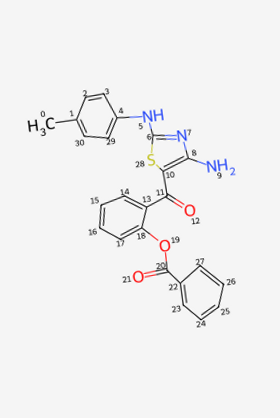 Cc1ccc(Nc2nc(N)c(C(=O)c3ccccc3OC(=O)c3ccccc3)s2)cc1